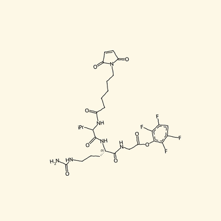 CC(C)C(NC(=O)CCCCCN1C(=O)C=CC1=O)C(=O)N[C@@H](CCCNC(N)=O)C(=O)NCC(=O)Oc1c(F)c(F)cc(F)c1F